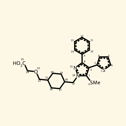 CSc1c(-c2cccs2)c(-c2ccccc2)nn1CC1CCC(COCC(=O)O)CC1